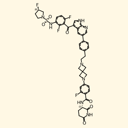 O=C1CC[C@H](NC(=O)c2ccc(N3CC4(CN(CCc5ccc(-c6cnc7[nH]cc(C(=O)c8c(F)ccc(NS(=O)(=O)N9CC[C@@H](F)C9)c8F)c7c6)cc5)C4)C3)cc2F)C(=O)N1